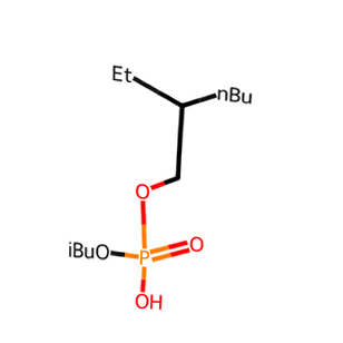 CCCCC(CC)COP(=O)(O)OCC(C)C